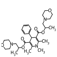 CC1=C(C(=O)OC(C)CN2CCOCC2)C(c2ccccc2)C(C(=O)OC(C)CN2CCOCC2)=C(C)N1C